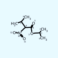 CC(C)OC(=O)C(C(C)C)[N+](=O)[O-]